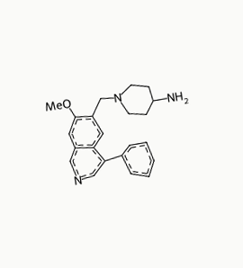 COc1cc2cncc(-c3ccccc3)c2cc1CN1CCC(N)CC1